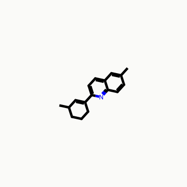 Cc1ccc2nc(C3=CC(C)CCC3)ccc2c1